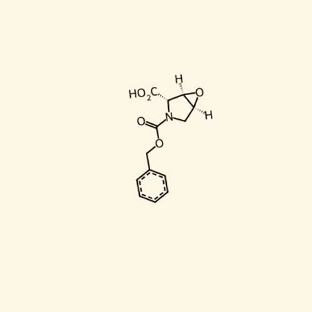 O=C(O)[C@@H]1[C@H]2O[C@H]2CN1C(=O)OCc1ccccc1